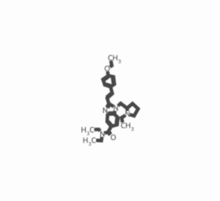 CCOc1ccc(C=Cc2nc3cc(C(=O)N(CC)CC)ccc3n2CC2CCCN2CC)cc1